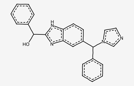 OC(c1ccccc1)c1nc2cc(C(c3ccccc3)n3ccnc3)ccc2[nH]1